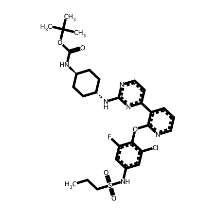 CCCS(=O)(=O)Nc1cc(F)c(Oc2ncccc2-c2ccnc(N[C@H]3CC[C@H](NC(=O)OC(C)(C)C)CC3)n2)c(Cl)c1